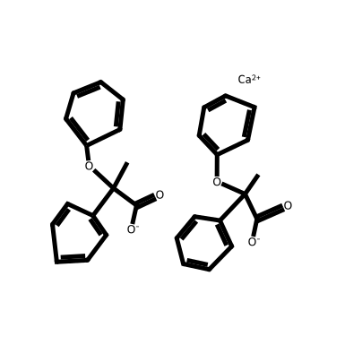 CC(Oc1ccccc1)(C(=O)[O-])c1ccccc1.CC(Oc1ccccc1)(C(=O)[O-])c1ccccc1.[Ca+2]